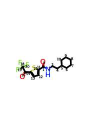 O=C(NCCC1CCCCC1)c1ccc(C(=O)C(F)(F)F)s1